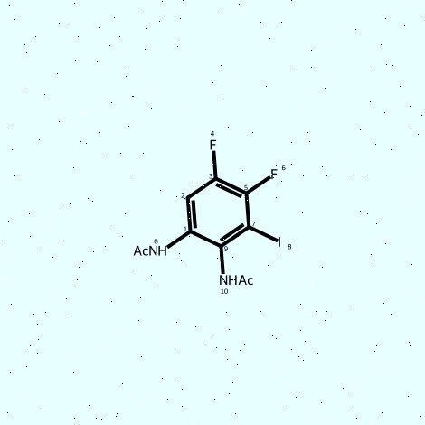 CC(=O)Nc1cc(F)c(F)c(I)c1NC(C)=O